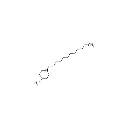 CCCCCCCCCCCCN1CCC(C)CC1